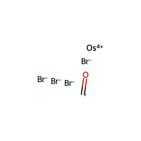 [Br-].[Br-].[Br-].[Br-].[C]=O.[Os+4]